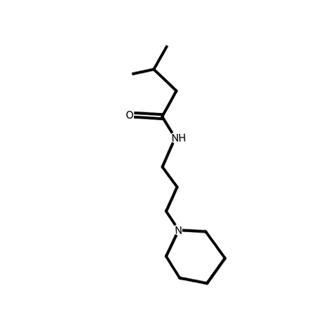 CC(C)CC(=O)NCCCN1CCCCC1